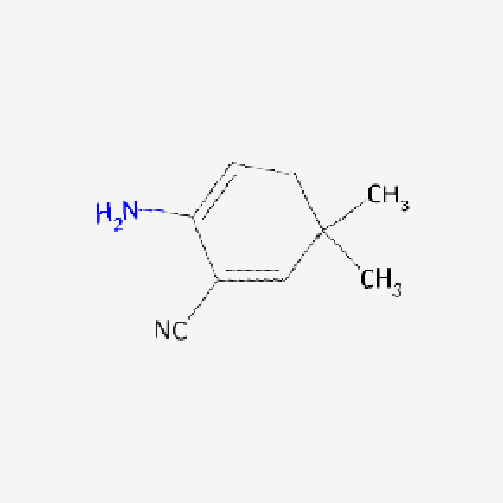 CC1(C)C=C(C#N)C(N)=CC1